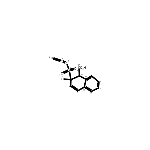 O=C=NS(=O)(=O)C1(Cl)C=Cc2ccccc2C1C(=O)O